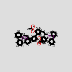 CC(=O)Oc1ccc(CCC[PH](c2ccccc2)(c2ccccc2)c2ccccc2)cc1-c1cc(CCC[PH](c2ccccc2)(c2ccccc2)c2ccccc2)ccc1OC(C)=O